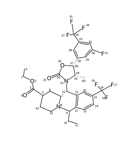 CCOC(=O)C1CCN(C(CC)c2ccc(C(F)(F)F)cc2CN2C(=O)O[C@H](c3cc(F)cc(C(F)(F)F)c3)[C@@H]2C)CC1